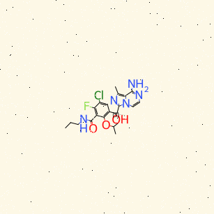 CCCNC(=O)c1c(F)c(Cl)cc([C@](C)(O)c2nc(C)c3c(N)nccn23)c1OC(C)C